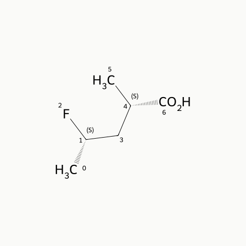 C[C@H](F)C[C@H](C)C(=O)O